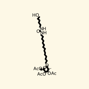 CC(=O)OC[C@H]1O[C@@H](OCCCCCCCCCCCCCCCNC(=O)NCCCCCCO)[C@H](C)[C@@H](OC(C)=O)[C@@H]1OC(C)=O